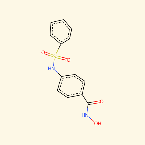 O=C(NO)c1ccc(NS(=O)(=O)c2ccccc2)cc1